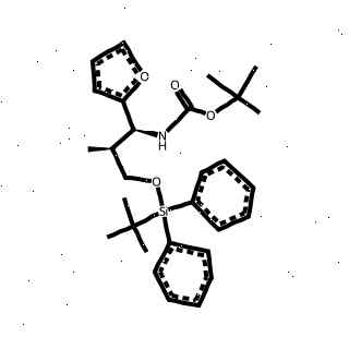 C[C@H](CO[Si](c1ccccc1)(c1ccccc1)C(C)(C)C)[C@H](NC(=O)OC(C)(C)C)c1ccco1